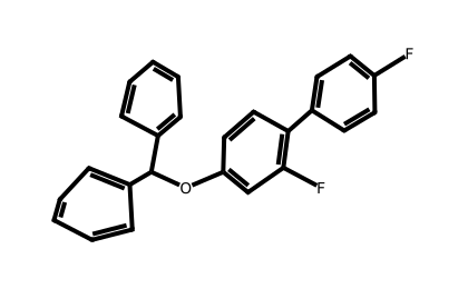 Fc1ccc(-c2ccc(OC(c3ccccc3)c3ccccc3)cc2F)cc1